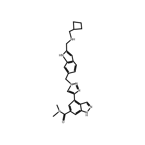 CN(C)C(=O)c1cc(-c2cn(Cc3ccc4cc(CNCC5CCC5)[nH]c4c3)nn2)c2cn[nH]c2c1